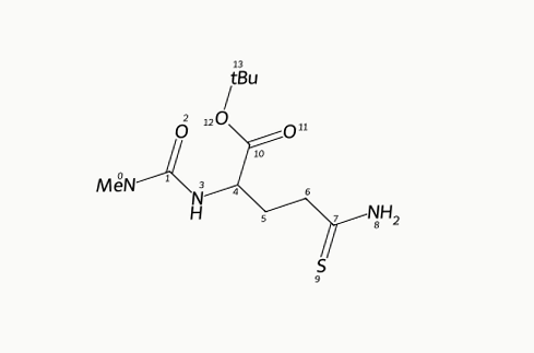 CNC(=O)NC(CCC(N)=S)C(=O)OC(C)(C)C